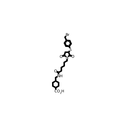 O=C(CCCCCN1C(=O)CC(Sc2ccc(CBr)cc2)C1=O)NCC1CCC(C(=O)O)CC1